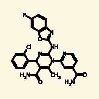 CC1=C(C(N)=O)C(c2ccccc2Cl)N=C(Nc2nc3ccc(F)cc3o2)N1c1cc(C(N)=O)ccn1